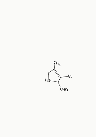 CCC1=C(C)CNC1C=O